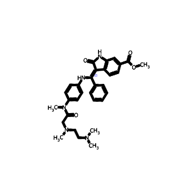 COC(=O)c1ccc2c(c1)NC(=O)/C2=C(\Nc1ccc(N(C)C(=O)CN(C)CCN(C)C)cc1)c1ccccc1